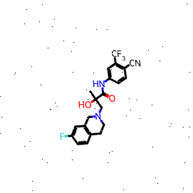 CC(O)(CN1CCc2ccc(F)cc2C1)C(=O)Nc1ccc(C#N)c(C(F)(F)F)c1